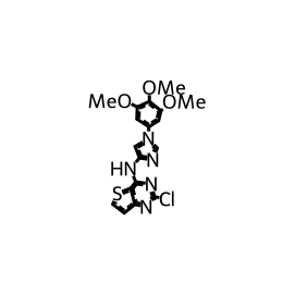 COc1cc(-n2cnc(Nc3nc(Cl)nc4ccsc34)c2)cc(OC)c1OC